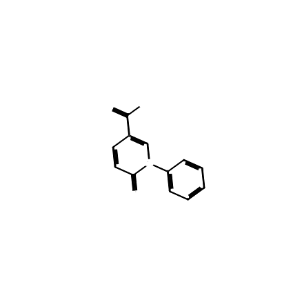 C=C(C)C1=CN(c2ccccc2)C(=C)C=C1